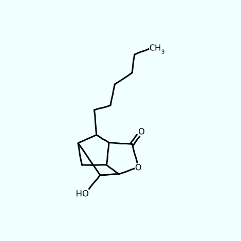 CCCCCCC1C2CC3C(OC(=O)C13)C2O